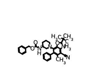 Cc1c(-c2ccccc2)c(N2CCC[C@H](NC(=O)OCc3ccccc3)C2)c2oc(C(C)(C)C)nc2c1C#N